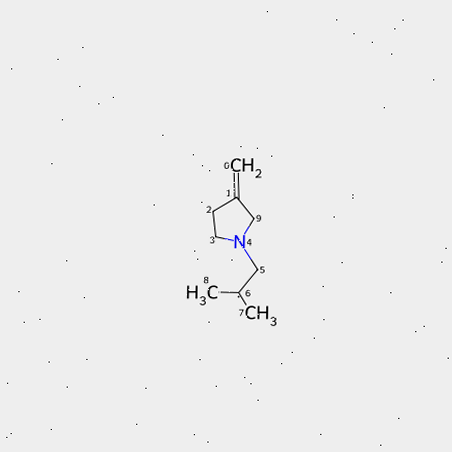 C=C1CCN(C[C](C)C)C1